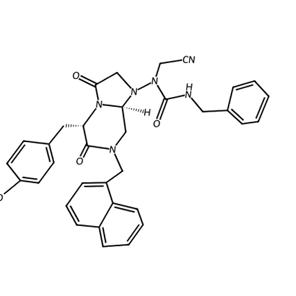 N#CCN(C(=O)NCc1ccccc1)N1CC(=O)N2[C@@H](Cc3ccc(O)cc3)C(=O)N(Cc3cccc4ccccc34)C[C@@H]21